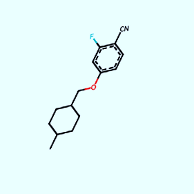 CC1CCC(COc2ccc(C#N)c(F)c2)CC1